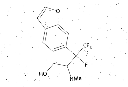 CNC(CO)C(F)(c1ccc2ccoc2c1)C(F)(F)F